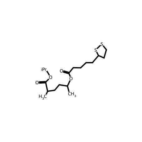 CC(C)OC(=O)C(C)CCC(C)OC(=O)CCCCC1CCSS1